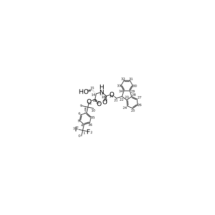 CC(F)(F)c1ccc(C(C)(C)OC(=O)[C@H](CO)NC(=O)OCC2c3ccccc3-c3ccccc32)cc1